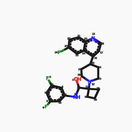 OC(Nc1cc(F)cc(F)c1)C1(N2CCC(c3ccnc4ccc(F)cc34)CC2)CCC1